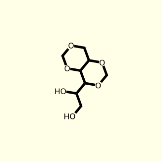 OCC(O)C1OCOC2COCOC21